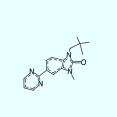 Cn1c(=O)n(CC(C)(C)C)c2ccc(-c3ncccn3)cc21